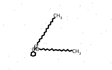 CCCCCCCCCCCCCCCCCCOP(OCCCCCCCCCCCCCCCCCC)OC1CCCCC1